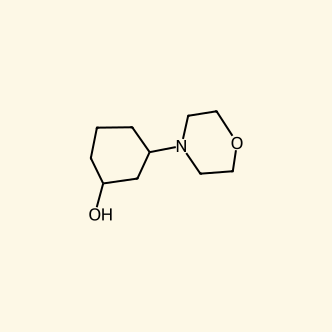 OC1CCCC(N2CCOCC2)C1